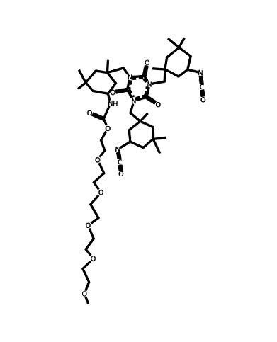 COCCOCCOCCOCCOCCOC(=O)NC1CC(C)(C)CC(C)(Cn2c(=O)n(CC3(C)CC(N=C=O)CC(C)(C)C3)c(=O)n(CC3(C)CC(N=C=O)CC(C)(C)C3)c2=O)C1